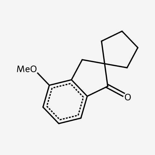 COc1cccc2c1CC1(CCCC1)C2=O